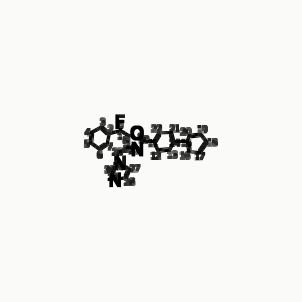 FC(c1ccccc1)C1OC(c2ccc(-c3ccccc3)cc2)=NC1Cn1ccnc1